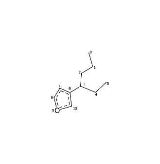 CCCC(CC)c1ccoc1